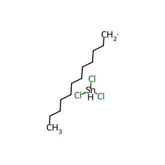 [CH2]CCCCCCCCCCC.[Cl][SnH]([Cl])[Cl]